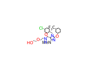 CNc1nc(Oc2cccc(C(F)(F)F)c2)n(Cc2ccc(Cl)cc2)c1C(=O)NCCOCCO